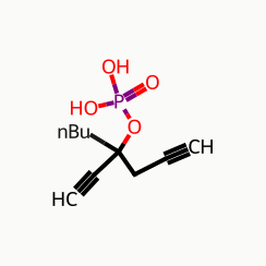 C#CCC(C#C)(CCCC)OP(=O)(O)O